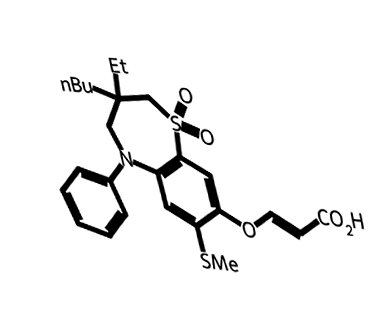 CCCCC1(CC)CN(c2ccccc2)c2cc(SC)c(OC=CC(=O)O)cc2S(=O)(=O)C1